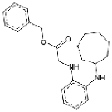 O=C(CNc1ccccc1NC1CCCCCC1)OCc1ccccc1